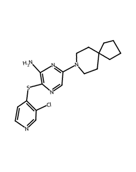 Nc1nc(N2CCC3(CCCC3)CC2)cnc1Sc1ccncc1Cl